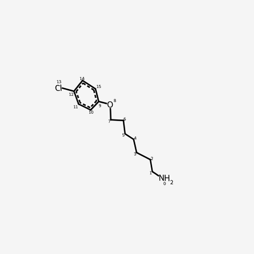 NCCCCCCCOc1ccc(Cl)cc1